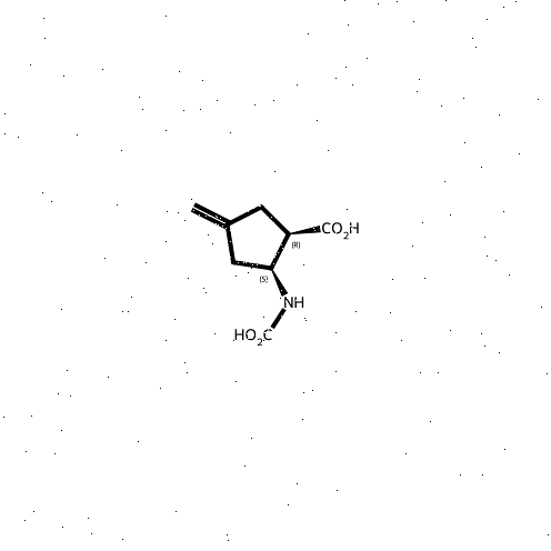 C=C1C[C@H](NC(=O)O)[C@H](C(=O)O)C1